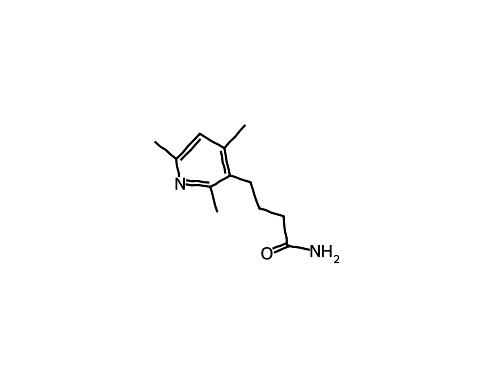 Cc1cc(C)c(CCCC(N)=O)c(C)n1